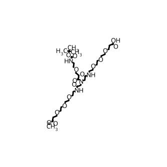 COC(=O)CCOCCOCCOCCNC(=O)CN(CC(=O)NCCOCCOCCOCCC(=O)O)C(=O)CCOCCNC(=O)OC(C)(C)C